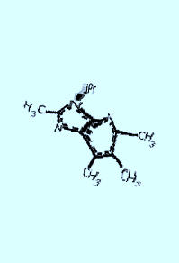 Cc1nc2c(nc(C)n2C(C)C)c(C)c1C